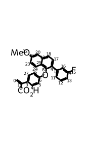 C=C(C(=O)O)c1ccc(Oc2c(-c3cccc(F)c3)ccc3cc(OC)ccc23)cc1